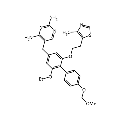 CCOc1cc(Cc2cnc(N)nc2N)cc(OCCc2scnc2C)c1-c1ccc(OCOC)cc1